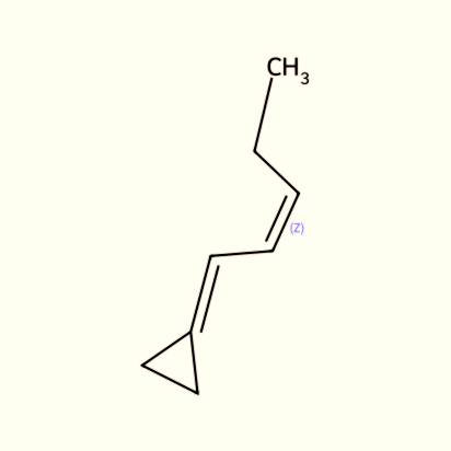 CC/C=C\C=C1CC1